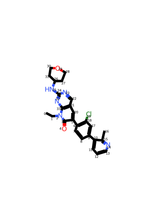 CCn1c(=O)c(-c2ccc(-c3cccnc3C)cc2Cl)cc2cnc(NC3CCOCC3)nc21